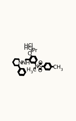 Cc1ccc(S(=O)(=O)N(C)c2ccc(OC(C)C)c(CNN3CCCCC3c3ccccc3)c2)cc1.Cl.Cl